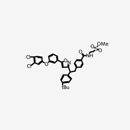 COS(=O)(=O)CCNC(=O)c1ccc(CC(c2ccc(C(C)(C)C)cc2)c2cc(-c3cccc(Oc4ccc(Cl)c(Cl)c4)c3)on2)cc1